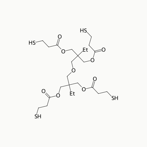 CCC(COCC(CC)(COC(=O)CCS)COC(=O)CCS)(COC(=O)CCS)COC(=O)CCS